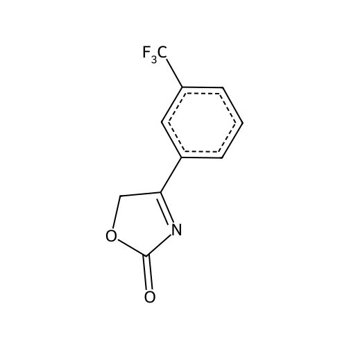 O=C1N=C(c2cccc(C(F)(F)F)c2)CO1